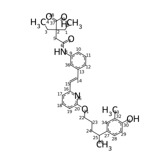 CCC(CC)(CC(=O)Nc1cccc(C=Cc2cccc(OCCCC(C)c3ccc(O)c(C)c3)n2)c1)C(=O)O